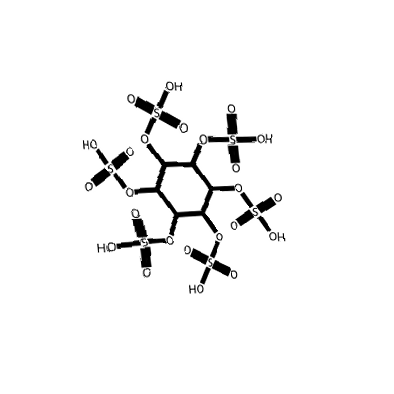 O=S(=O)(O)OC1C(OS(=O)(=O)O)C(OS(=O)(=O)O)C(OS(=O)(=O)O)C(OS(=O)(=O)O)C1OS(=O)(=O)O